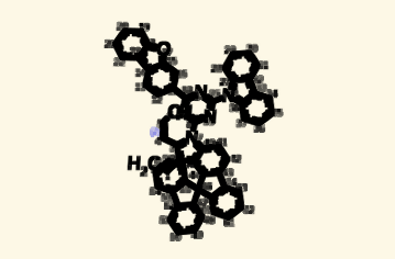 C=Cc1c(/C=C\C)n(-c2nc(-c3ccc4c(c3)oc3ccccc34)nc(-n3c4ccccc4c4ccccc43)n2)c2ccc3c(c12)C1(c2ccccc2-c2ccccc21)c1ccccc1-3